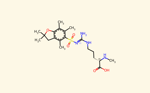 CN[C@@H](CCCN/C(N)=N/S(=O)(=O)c1c(C)c(C)c2c(c1C)CC(C)(C)O2)C(=O)O